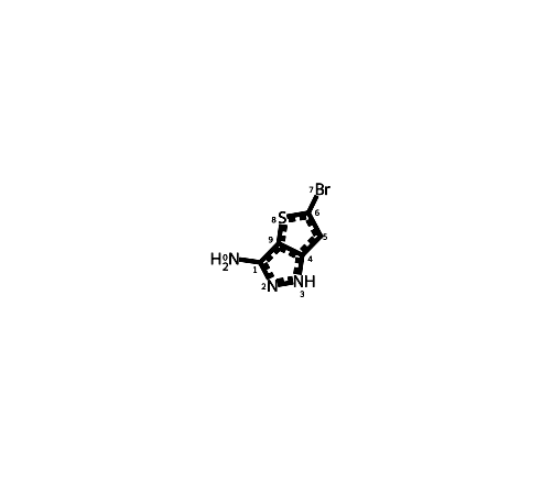 Nc1n[nH]c2cc(Br)sc12